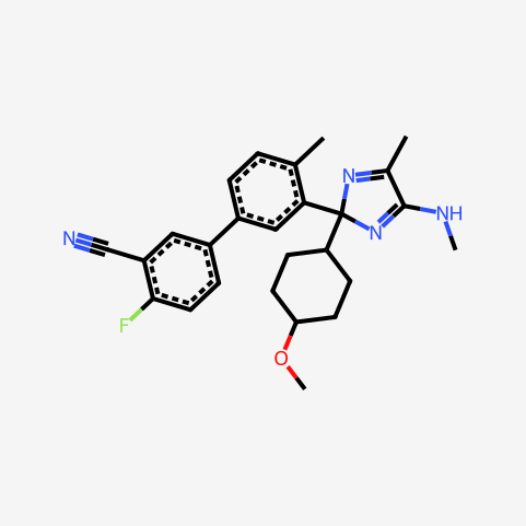 CNC1=NC(c2cc(-c3ccc(F)c(C#N)c3)ccc2C)(C2CCC(OC)CC2)N=C1C